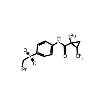 CCCCC1(C(=O)Nc2ccc(S(=O)(=O)CC(C)C)cc2)CC1C(F)(F)F